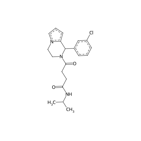 CC(C)NC(=O)CCC(=O)N1CCn2cccc2C1c1cccc(Cl)c1